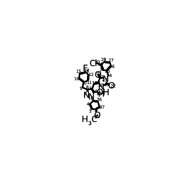 COc1ccc(-n2nc(Cc3ccc(F)cc3)c(/C=C3\NC(=O)N(Cc4cccc(Cl)c4)C3=O)c2O)cc1